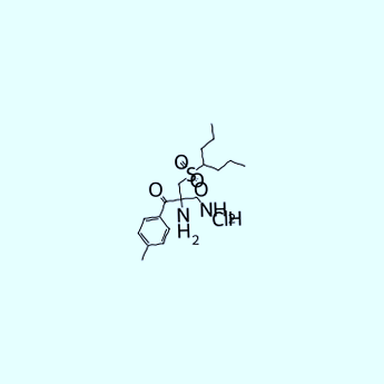 CCCC(CCC)S(=O)(=O)CC(N)(C(N)=O)C(=O)c1ccc(C)cc1.Cl